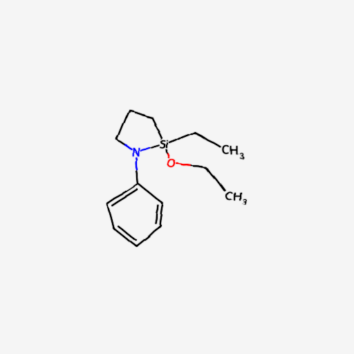 CCO[Si]1(CC)CCCN1c1ccccc1